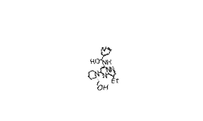 CCc1cnn2c(NC(O)c3cccnc3)cc(N3CCCC[C@H]3CCO)nc12